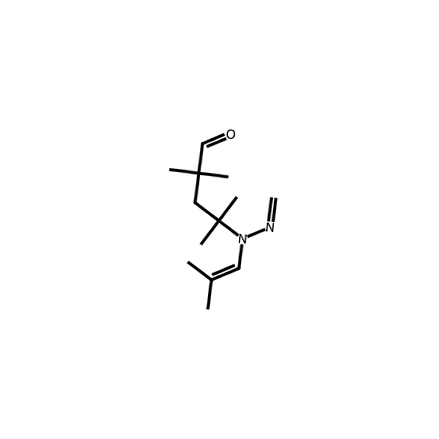 C=NN(C=C(C)C)C(C)(C)CC(C)(C)C=O